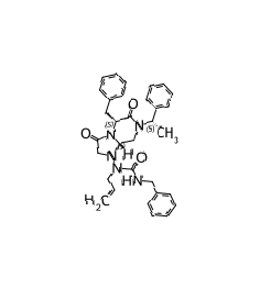 C=CCN(C(=O)NCc1ccccc1)N1CC(=O)N2[C@@H](Cc3ccccc3)C(=O)N([C@@H](C)c3ccccc3)C[C@@H]21